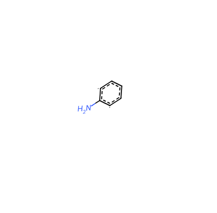 Nc1[c]ccc[c]1